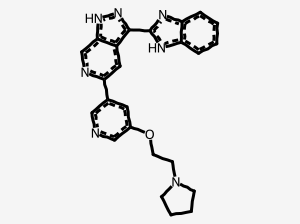 c1ccc2[nH]c(-c3n[nH]c4cnc(-c5cncc(OCCN6CCCC6)c5)cc34)nc2c1